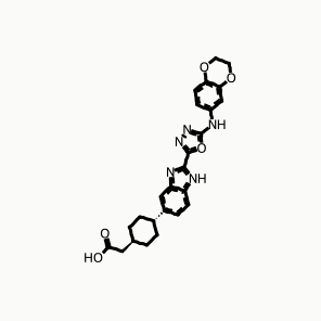 O=C(O)C[C@H]1CC[C@H](c2ccc3[nH]c(-c4nnc(Nc5ccc6c(c5)OCCO6)o4)nc3c2)CC1